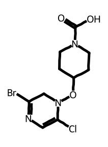 O=C(O)N1CCC(ON2CC(Br)=NC=C2Cl)CC1